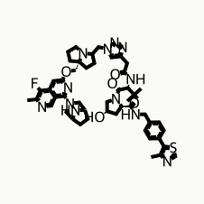 Cc1ncsc1-c1ccc(CNC(=O)[C@H]2C[C@H](O)CN2C(=O)[C@H](NC(=O)Cc2cn(CC3CC[C@@]4(COc5cc6c(F)c(C)ncc6c(N6CC7CCC(C6)N7)n5)CCCN34)nn2)C(C)(C)C)cc1